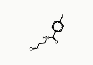 O=[C]CCNC(=O)c1ccc(I)cc1